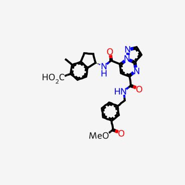 COC(=O)c1cccc(CNC(=O)c2cc(C(=O)N[C@H]3CCc4c3ccc(C(=O)O)c4C)n3nccc3n2)c1